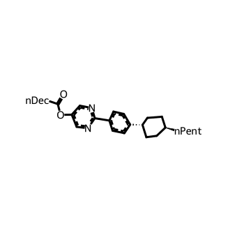 CCCCCCCCCCC(=O)Oc1cnc(-c2ccc([C@H]3CC[C@H](CCCCC)CC3)cc2)nc1